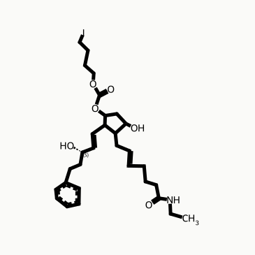 CCNC(=O)CCCC=CCC1C(O)CC(OC(=O)OCCCCI)C1C=C[C@@H](O)CCc1ccccc1